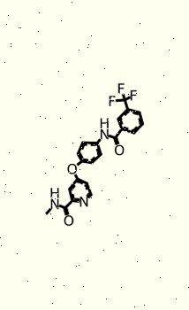 CNC(=O)c1cc(Oc2ccc(NC(=O)c3cccc(C(F)(F)F)c3)cc2)ccn1